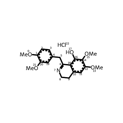 COc1ccc(CC2=NCCc3cc(OC)c(OC)c(O)c32)cc1OC.Cl